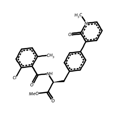 COC(=O)[C@H](Cc1ccc(-c2cccn(C)c2=O)cc1)NC(=O)c1c(C)cccc1Cl